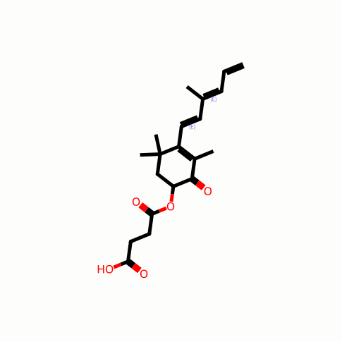 C=C/C=C(C)/C=C/C1=C(C)C(=O)C(OC(=O)CCC(=O)O)CC1(C)C